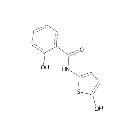 O=C(Nc1ccc(O)s1)c1ccccc1O